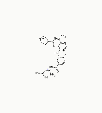 Cc1ccc(C(=O)N/C(N)=C/C(=N)C(C)(C)C)cc1Nc1ncnc2c(N)nc(N3CC4CC3CN4C)nc12